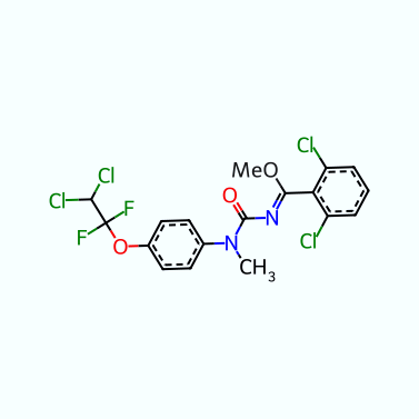 COC(=NC(=O)N(C)c1ccc(OC(F)(F)C(Cl)Cl)cc1)c1c(Cl)cccc1Cl